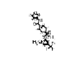 Cn1nc(C(F)(F)F)cc1S[C@@](C)(F)C1CCN(C(=O)Nc2ccon2)CC1